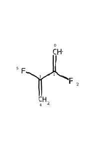 [CH]=C(F)C(=C)F